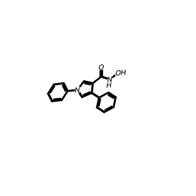 O=C(NO)c1cn(-c2ccccc2)cc1-c1ccccc1